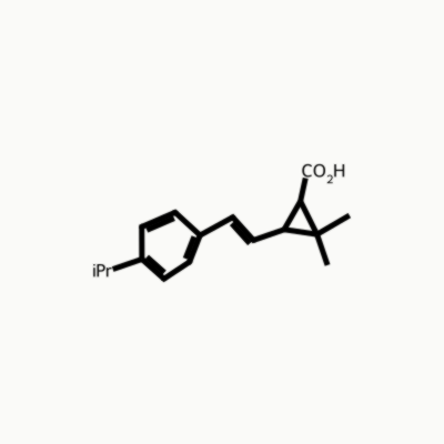 CC(C)c1ccc(C=CC2C(C(=O)O)C2(C)C)cc1